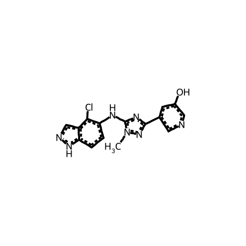 Cn1nc(-c2cncc(O)c2)nc1Nc1ccc2[nH]ncc2c1Cl